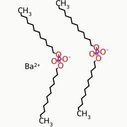 CCCCCCCCCCCCOP(=O)([O-])OCCCCCCCCCCCC.CCCCCCCCCCCCOP(=O)([O-])OCCCCCCCCCCCC.[Ba+2]